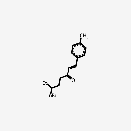 CCCCC(CC)CCC(=O)/C=C/c1ccc(C)cc1